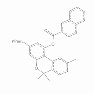 CCCCCc1cc(OC(=O)c2ccc3ccccc3c2)c2c(c1)OC(C)(C)c1ccc(C)cc1-2